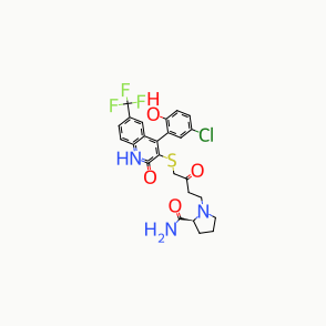 NC(=O)[C@@H]1CCCN1CCC(=O)CSc1c(-c2cc(Cl)ccc2O)c2cc(C(F)(F)F)ccc2[nH]c1=O